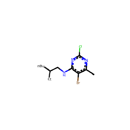 CCCCC(CC)CNc1nc(Cl)nc(C)c1Br